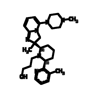 Cc1cccnc1[C@@H]1CCC[C@H](C2(C)CN3C(N4CCN(C)CC4)=CC=CC3=N2)N1CCCO